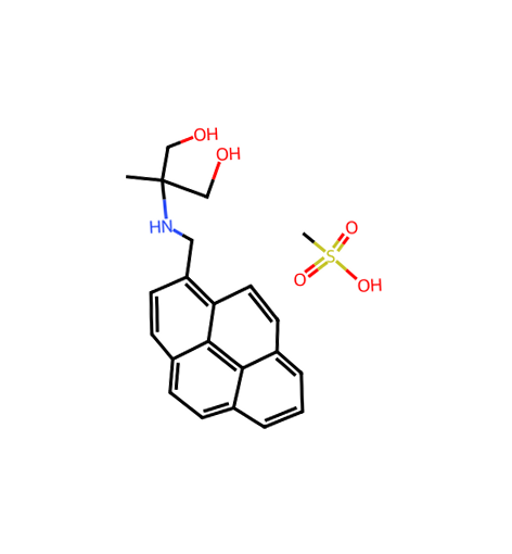 CC(CO)(CO)NCc1ccc2ccc3cccc4ccc1c2c34.CS(=O)(=O)O